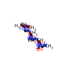 COC1CCN(c2nc3c(cc2C(=O)Nc2cccc(-c4cnn(CCC5(C)Cc6cc(C(=O)Nc7cccc(-c8cnn(CCC9(C)Cc%10cc(C(=O)Nc%11cccc(-c%12cnn(C)c%12)n%11)c(N%11CCN(CCO)CC%11)nc%10O9)c8)n7)c(N7CCN(C)CC7)nc6O5)c4)n2)CC(C)(C)O3)CC1